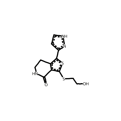 O=C1NCCc2c(-c3cc[nH]n3)sc(SCCO)c21